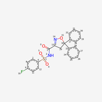 O=C(NS(=O)(=O)c1ccc(F)cc1)C1=NOC(c2ccccc2)(c2ccccc2)C1